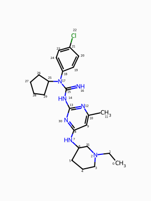 CCN1CCCC(Nc2cc(C)nc(NC(=N)N(c3ccc(Cl)cc3)C3CCCC3)n2)C1